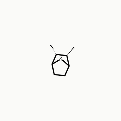 C[C@@H]1C2CCC(S2)[C@@H]1C